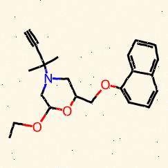 C#CC(C)(C)N1CC(COc2cccc3ccccc23)OC(OCC)C1